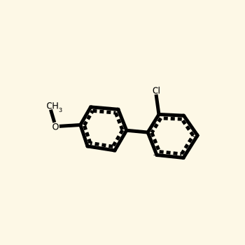 COc1ccc(-c2[c]cccc2Cl)cc1